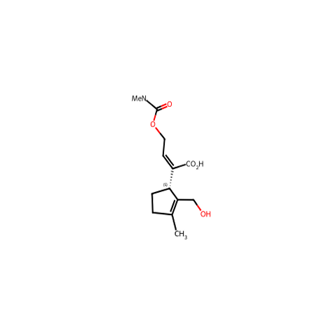 CNC(=O)OCC=C(C(=O)O)[C@H]1CCC(C)=C1CO